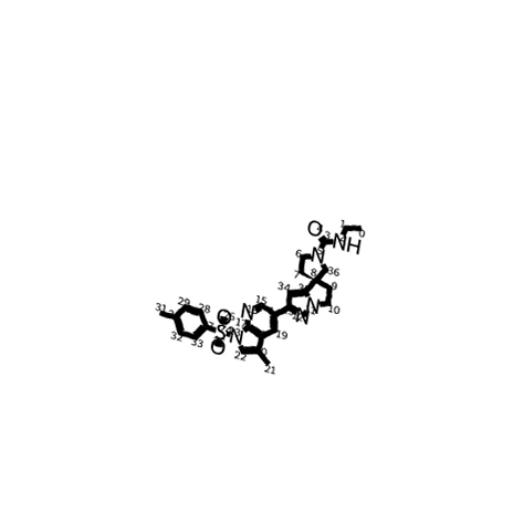 CCNC(=O)N1CC[C@]2(CCn3nc(-c4cnc5c(c4)c(C)cn5S(=O)(=O)c4ccc(C)cc4)cc32)C1